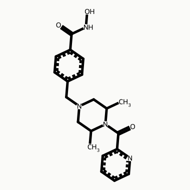 CC1CN(Cc2ccc(C(=O)NO)cc2)CC(C)N1C(=O)c1ccccn1